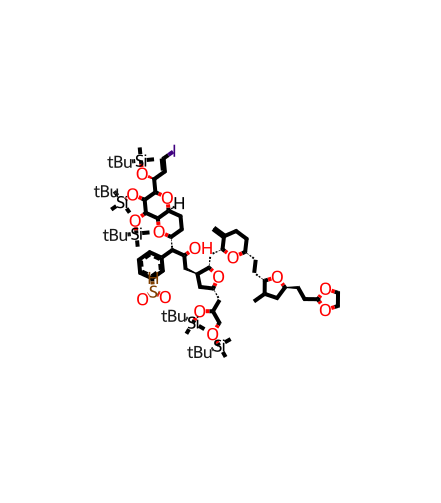 C=C1CC[C@H](CC[C@@H]2O[C@@H](CCC3OCCO3)CC2C)O[C@@H]1C[C@@H]1O[C@H](CC(CO[Si](C)(C)C(C)(C)C)O[Si](C)(C)C(C)(C)C)C[C@H]1CC(O)C(c1cccc([SH](=O)=O)c1)[C@H]1CC[C@@H]2OC([C@H](/C=C/I)O[Si](C)(C)C(C)(C)C)C(O[Si](C)(C)C(C)(C)C)C(O[Si](C)(C)C(C)(C)C)C2O1